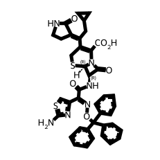 Nc1nc(C(=NOC(c2ccccc2)(c2ccccc2)c2ccccc2)C(=O)N[C@@H]2C(=O)N3C(C(=O)O)=C(C(CC4CC4)=C4CCNC4=O)CS[C@H]23)cs1